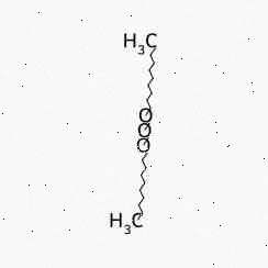 CCCCCCCCCCOCOCOCCCCCCCCCC